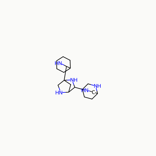 C1CC2(C3NC4(C5NC6CCC5CC6)CNC3C4)CNC1CN2